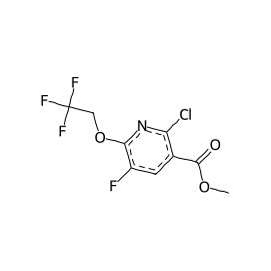 COC(=O)c1cc(F)c(OCC(F)(F)F)nc1Cl